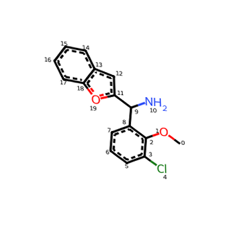 COc1c(Cl)cccc1C(N)c1cc2ccccc2o1